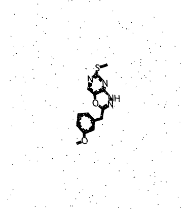 COc1cccc(CC2=NNc3nc(SC)ncc3O2)c1